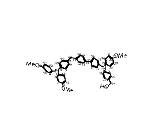 COc1ccc(N(c2ccc(Cc3ccc(-c4ccc(N(c5ccc(CO)cc5)c5ccc(OC)cc5)cc4)cc3)cc2)c2ccc(OC)cc2)cc1